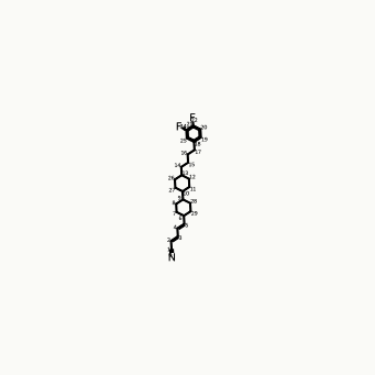 N#CC=CC=CC1CCC(C2CCC(CCCCc3ccc(F)c(F)c3)CC2)CC1